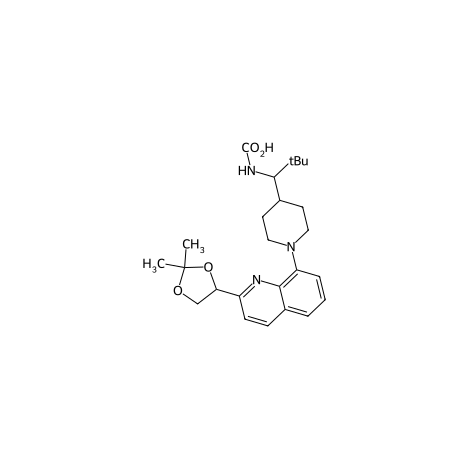 CC1(C)OCC(c2ccc3cccc(N4CCC(C(NC(=O)O)C(C)(C)C)CC4)c3n2)O1